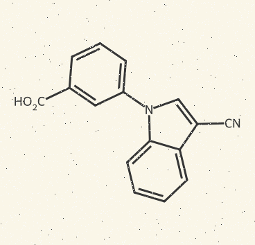 N#Cc1cn(-c2cccc(C(=O)O)c2)c2ccccc12